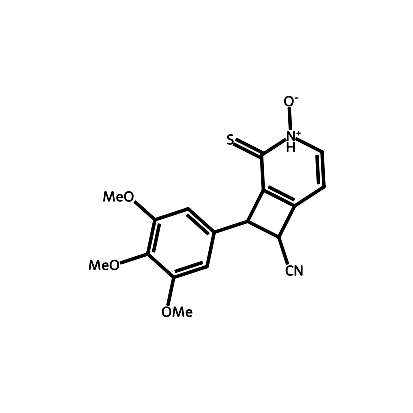 COc1cc(C2C3=C(C=C[NH+]([O-])C3=S)C2C#N)cc(OC)c1OC